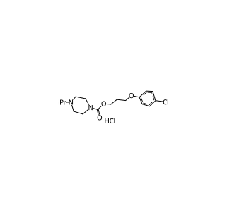 CC(C)N1CCN(C(=O)OCCCOc2ccc(Cl)cc2)CC1.Cl